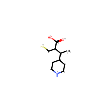 CC(C1CCNCC1)C(CS)C(=O)O